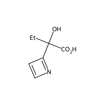 CCC(O)(C(=O)O)C1=NC=C1